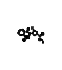 CCOC(=O)[C@@H]1C[C@H](F)[C@H](OC(=O)c2ccccc2[N+](=O)[O-])C1